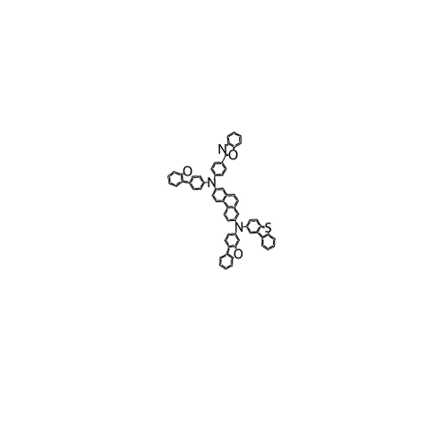 c1ccc2oc(-c3ccc(N(c4ccc5c(ccc6cc(N(c7ccc8c(c7)oc7ccccc78)c7ccc8sc9ccccc9c8c7)ccc65)c4)c4ccc5c(c4)oc4ccccc45)cc3)nc2c1